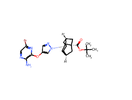 CC(C)(C)OC(=O)[C@]12C[C@H]3CC1[C@H](C[C@H](n1cc(Oc4nc(Br)cnc4N)cn1)C3)C2